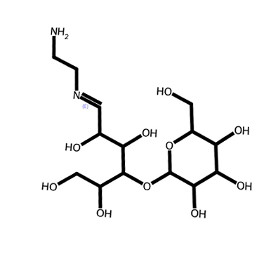 NCC/N=C/C(O)C(O)C(OC1OC(CO)C(O)C(O)C1O)C(O)CO